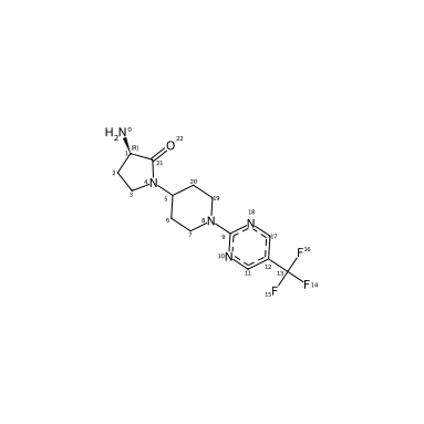 N[C@@H]1CCN(C2CCN(c3ncc(C(F)(F)F)cn3)CC2)C1=O